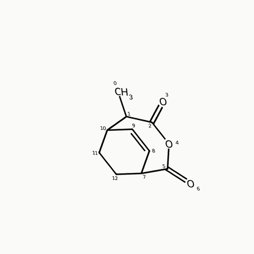 CC1C(=O)OC(=O)C2C=CC1CC2